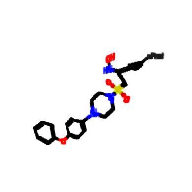 CCCCCC#CC(CS(=O)(=O)N1CCN(c2ccc(Oc3ccccc3)cc2)CC1)NO